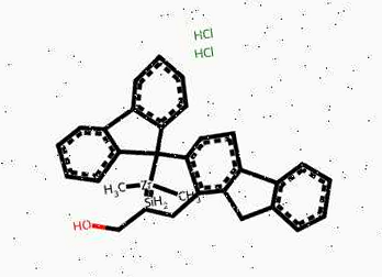 Cl.Cl.[CH3][Zr]([CH3])(=[SiH2])[C]1(c2ccc3c(c2CCCO)Cc2ccccc2-3)c2ccccc2-c2ccccc21